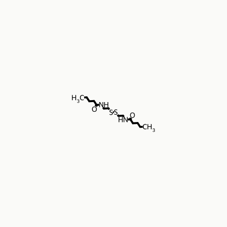 CCCCC(=O)NCCSSCCNC(=O)CCCC